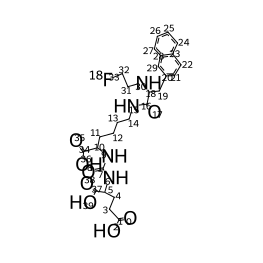 O=C(O)CCC(NC(=O)NC(CCCCNC(=O)C(Cc1ccc2ccccc2c1)NCC[18F])C(=O)O)C(=O)O